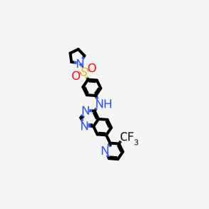 O=S(=O)(c1ccc(Nc2ncnc3cc(-c4ncccc4C(F)(F)F)ccc23)cc1)N1CCCC1